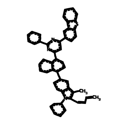 C=C/C=C\c1c(C)c2cc(-c3ccc(-c4cc(-c5ccc6sc7ccccc7c6c5)nc(-c5ccccc5)n4)c4ccccc34)ccc2n1-c1ccccc1